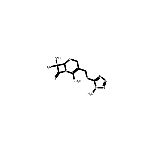 CS[C@]1(N)C(=O)N2C(C(=O)O)=C(CSc3nnnn3C)CSC21